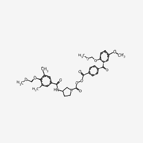 COCOc1ccc(OC)cc1C(=O)c1ccc(C(=O)OOC(=O)N2CCC(NC(=O)c3cc(C)c(OCOC)c(C)c3)C2)cc1